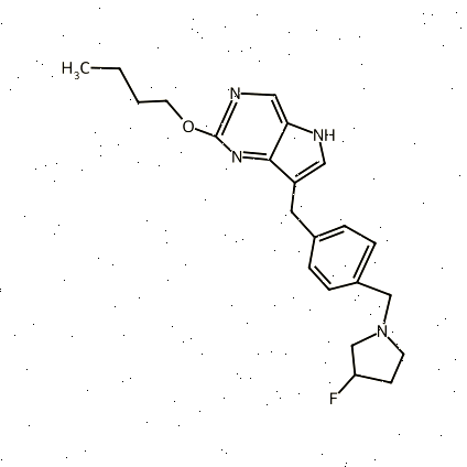 CCCCOc1ncc2[nH]cc(Cc3ccc(CN4CCC(F)C4)cc3)c2n1